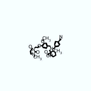 COc1cc(CN(CC2(C(=O)O)CCCCC2)C(C)c2ccc(C#N)cc2)ccc1OCCn1c(=O)ccn(C)c1=O